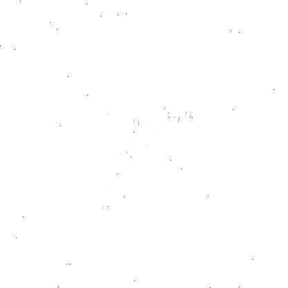 CC(C)c1ccc(C(NC(=O)C2CC(F)CN2C(=O)Cn2nnc3ccccc32)c2ccccc2)cc1